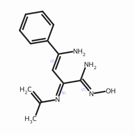 C=C(C)/N=C(\C=C(/N)c1ccccc1)C(/N)=N/O